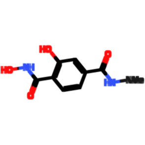 CNNC(=O)c1ccc(C(=O)NO)c(O)c1